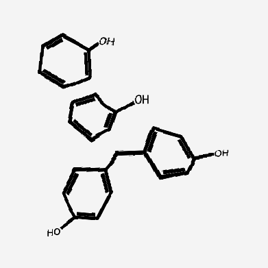 Oc1ccc(Cc2ccc(O)cc2)cc1.Oc1ccccc1.Oc1ccccc1